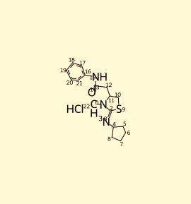 CN1/C(=N/C2CCCC2)SCC1CC(=O)Nc1ccccc1.Cl